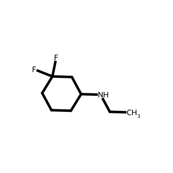 CCNC1CCCC(F)(F)C1